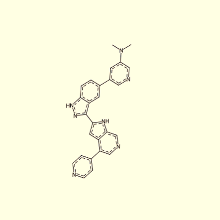 CN(C)c1cncc(-c2ccc3[nH]nc(-c4cc5c(-c6ccncc6)cncc5[nH]4)c3c2)c1